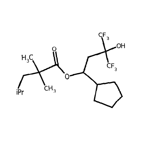 CC(C)CC(C)(C)C(=O)OC(CC(O)(C(F)(F)F)C(F)(F)F)C1CCCC1